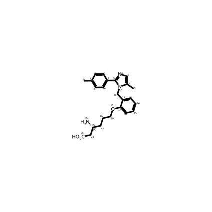 Cc1ccc(-c2ncc(C)n2Cc2ccccc2OCCC[C@@H](N)CC(=O)O)cc1